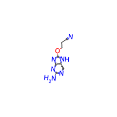 N#CCCOc1nc2nc(N)ncc2[nH]1